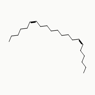 CCCCC/C=C\CCCCCCC/C=C\CCCCC